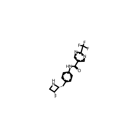 O=C(Nc1ccc(C[C@H]2NC[C@H]2F)cc1)c1cnc(C(F)(F)F)nc1